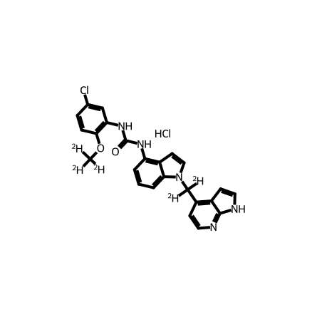 Cl.[2H]C([2H])([2H])Oc1ccc(Cl)cc1NC(=O)Nc1cccc2c1ccn2C([2H])([2H])c1ccnc2[nH]ccc12